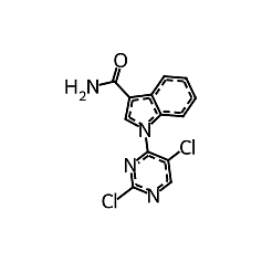 NC(=O)c1cn(-c2nc(Cl)ncc2Cl)c2ccccc12